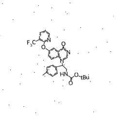 Cc1ccc(C(CNC(=O)OC(C)(C)C)n2cnc(=O)c3cc(Oc4ncccc4C(F)(F)F)ccc32)cc1